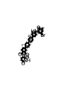 C[C@@H]1C[C@@H](N2CCN(c3ccc(Nc4cc(Br)cn(C)c4=O)nc3)[C@@H](C)C2)CCN1c1ccc2c(c1)C(=O)N(C1CCC(=O)NC1=O)C2=O